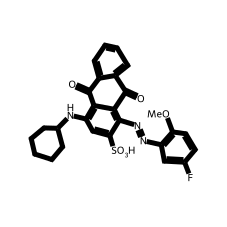 COc1ccc(F)cc1N=Nc1c(S(=O)(=O)O)cc(NC2CCCCC2)c2c1C(=O)c1ccccc1C2=O